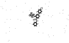 Clc1ccc(-[n+]2cc(Cl)c(NCc3ccccc3)cn2)cc1.[O-][Cl+3]([O-])([O-])[O-]